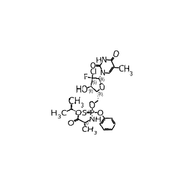 Cc1cn([C@@H]2O[C@H](CO[P@@](=S)(N[C@@H](C)C(=O)OC(C)C)Oc3ccccc3)[C@@H](O)[C@]2(F)Cl)c(=O)[nH]c1=O